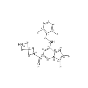 Cc1cccc(C)c1CNc1cc(C(=O)N2CC3(CNC3)C2)cn2c(C)c(C)nc12